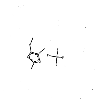 COc1cc(C)o[n+]1C.F[B-](F)(F)F